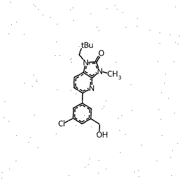 Cn1c(=O)n(CC(C)(C)C)c2ccc(-c3cc(Cl)cc(CO)c3)nc21